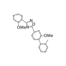 COc1ccccc1-c1noc(-c2ccc(-c3ccccc3C)c(OC)c2)n1